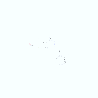 Cc1c(C(=O)O)sc2nc(Cc3ccccc3Cl)[nH]c(=O)c12